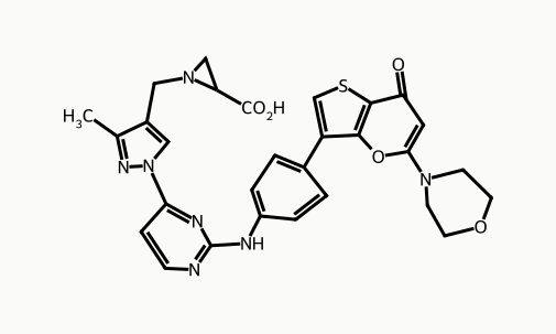 Cc1nn(-c2ccnc(Nc3ccc(-c4csc5c(=O)cc(N6CCOCC6)oc45)cc3)n2)cc1CN1CC1C(=O)O